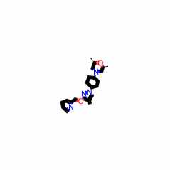 Cc1cn([C@H]2CC[C@H](N3C[C@@H](C)O[C@@H](C)C3)CC2)nc1OCc1ccccn1